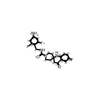 Nc1cc(F)c(CNC(=O)N2CCC3(CC2)CC(=O)c2cc(F)ccc2N3)c(F)c1